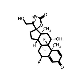 CCCC(=O)O[C@]1(C(=O)CO)CC[C@H]2[C@@H]3C[C@H](F)C4=CC(=O)C=C[C@]4(C)[C@@]3(F)[C@@H](O)C[C@@]21C